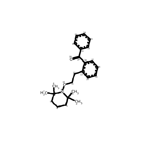 CC1(C)CCCC(C)(C)N1OCCc1ccccc1C(=O)c1ccccc1